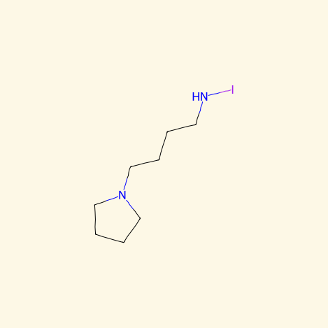 INCCCCN1CCCC1